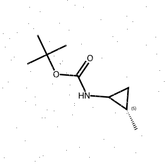 C[C@H]1CC1NC(=O)OC(C)(C)C